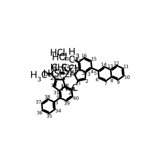 CC1=Cc2c(-c3ccc4ccccc4c3)ccc(C)c2[CH]1[Zr]([CH3])([CH3])(=[SiH2])[CH]1C(C(C)C)=Cc2c(-c3ccccc3)cccc21.Cl.Cl